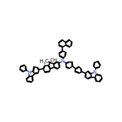 CC1(C)c2cc(-c3ccc4c(c3)c3ccccc3n4-c3ccccc3)ccc2-c2ccc(N(c3ccc(-c4ccc(-c5ccc6c7ccccc7n(-c7ccccc7)c6c5)cc4)cc3)c3ccc(-c4cccc5ccccc45)cc3)cc21